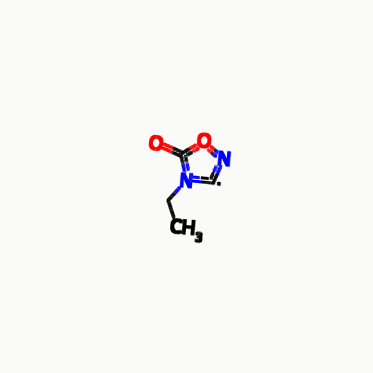 CCn1[c]noc1=O